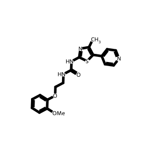 COc1ccccc1OCCNC(=O)Nc1nc(C)c(-c2ccncc2)s1